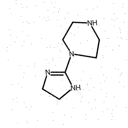 C1CNC(N2CCNCC2)=N1